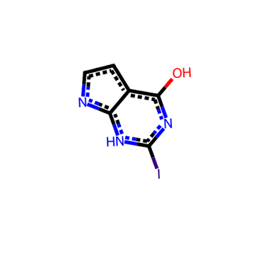 Oc1nc(I)[nH]c2nccc1-2